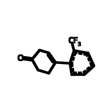 O=C1CC=C(c2ccccc2C(F)(F)F)CC1